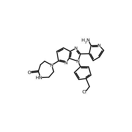 Nc1ncccc1-c1nc2ccc(N3CCNC(=O)CC3)nc2n1-c1ccc(CCl)cc1